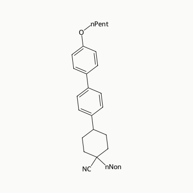 CCCCCCCCCC1(C#N)CCC(c2ccc(-c3ccc(OCCCCC)cc3)cc2)CC1